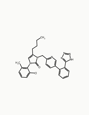 CCCCc1cn(-c2c(C)cccc2Cl)c(=O)n1Cc1ccc(-c2ccccc2-c2nnn[nH]2)cn1